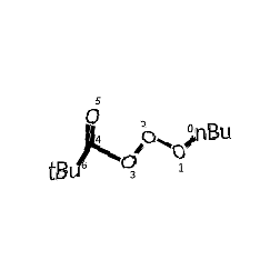 CCCCOOOC(=O)C(C)(C)C